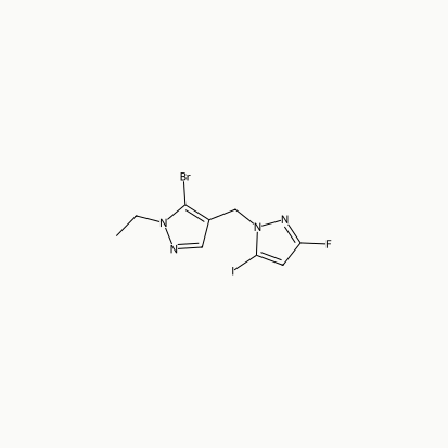 CCn1ncc(Cn2nc(F)cc2I)c1Br